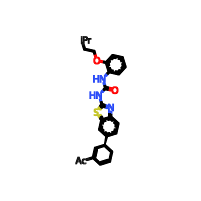 CC(=O)C1=C[C@@H](c2ccc3nc(NC(=O)Nc4ccccc4OCCC(C)C)sc3c2)CC=C1